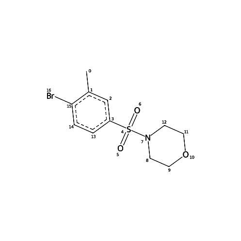 Cc1cc(S(=O)(=O)N2CCOCC2)ccc1Br